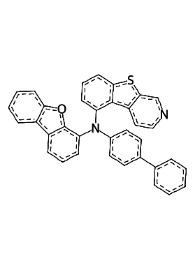 c1ccc(-c2ccc(N(c3cccc4c3oc3ccccc34)c3cccc4sc5cnccc5c34)cc2)cc1